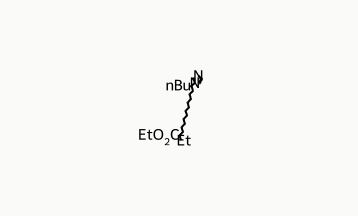 CCCCC(CCCCCCCCCCCC(CC)C(=O)OCC)n1ccnc1